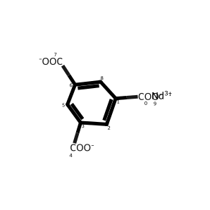 O=C([O-])c1cc(C(=O)[O-])cc(C(=O)[O-])c1.[Nd+3]